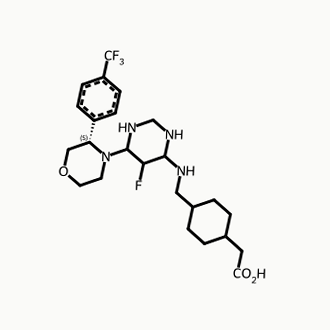 O=C(O)CC1CCC(CNC2NCNC(N3CCOC[C@@H]3c3ccc(C(F)(F)F)cc3)C2F)CC1